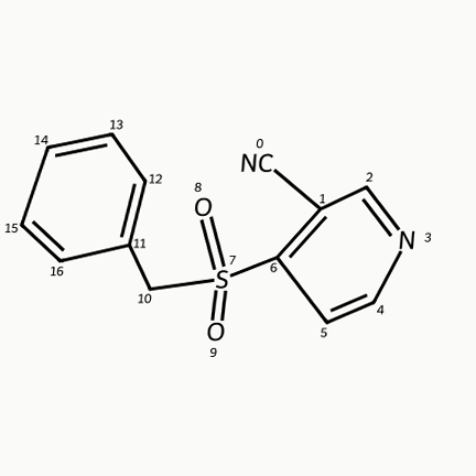 N#Cc1cnccc1S(=O)(=O)Cc1ccccc1